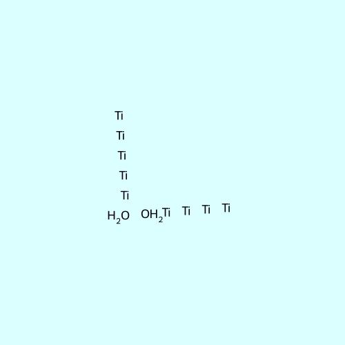 O.O.[Ti].[Ti].[Ti].[Ti].[Ti].[Ti].[Ti].[Ti].[Ti]